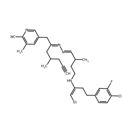 C#CCC(C)C/C(Cc1cnc(C#N)c(C)c1)=N\N=C\C(C)CCN/C(=C/CC)CCc1ccc(Cl)c(F)c1